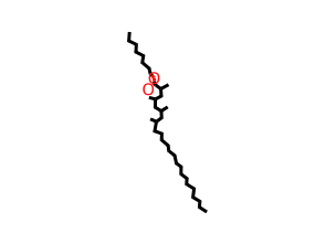 CCCCCCCCCCCCCCCCC(C)CC(C)CC(C)CC(C)C(=O)OCCCCCCCC